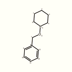 [CH]1CCCCN1OCc1ccccc1